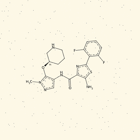 Cn1ncc(NC(=O)c2nc(-c3c(F)cccc3F)sc2N)c1O[C@@H]1CCCNC1